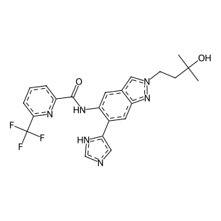 CC(C)(O)CCn1cc2cc(NC(=O)c3cccc(C(F)(F)F)n3)c(-c3cnc[nH]3)cc2n1